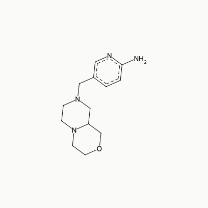 Nc1ccc(CN2CCN3CCOCC3C2)cn1